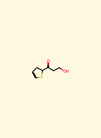 O=C(CCO)C1CC=CS1